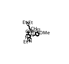 CCN(CC)CCCC(C)NC(=O)c1cnc2c(cnn2CC)c1NCc1ccc(OC)c(Cl)c1